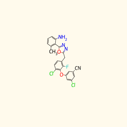 Cc1cccc(N)c1-c1nnc(Cc2ccc(Cl)c(Oc3cc(Cl)cc(C#N)c3)c2F)o1